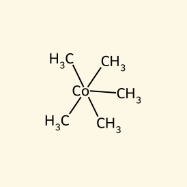 [CH3][Co]([CH3])([CH3])([CH3])[CH3]